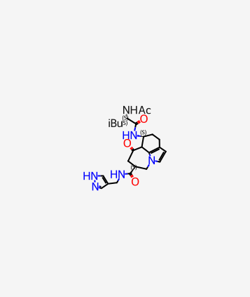 CC[C@H](C)[C@H](NC(C)=O)C(=O)N[C@H]1CCc2ccn3c2C1C(=O)C[C@H](C(=O)NCc1cn[nH]c1)C3